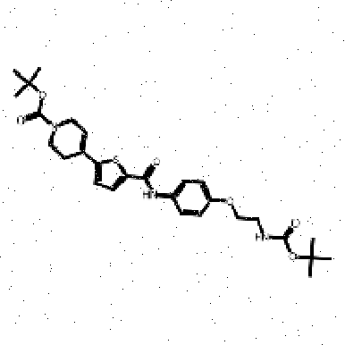 CC(C)(C)OC(=O)NCCOc1ccc(NC(=O)c2ccc(C3=CCN(C(=O)OC(C)(C)C)CC3)s2)cc1